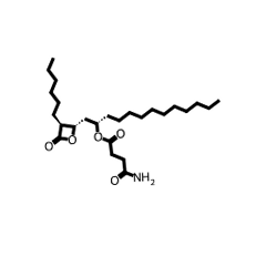 CCCCCCCCCCC[C@@H](C[C@@H]1OC(=O)[C@H]1CCCCCC)OC(=O)CCC(N)=O